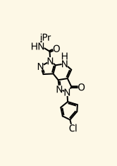 CC(C)NC(=O)n1ncc2c3nn(-c4ccc(Cl)cc4)c(=O)c-3c[nH]c21